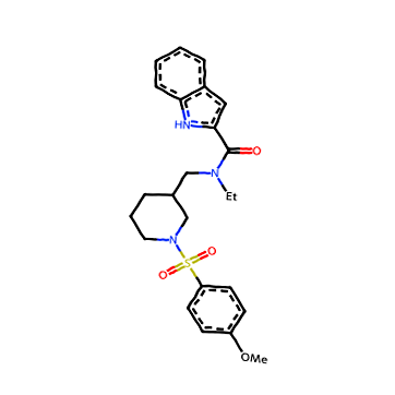 CCN(CC1CCCN(S(=O)(=O)c2ccc(OC)cc2)C1)C(=O)c1cc2ccccc2[nH]1